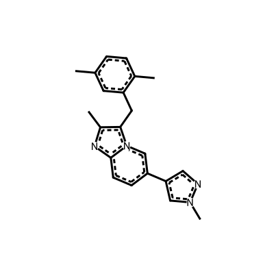 Cc1ccc(C)c(Cc2c(C)nc3ccc(-c4cnn(C)c4)cn23)c1